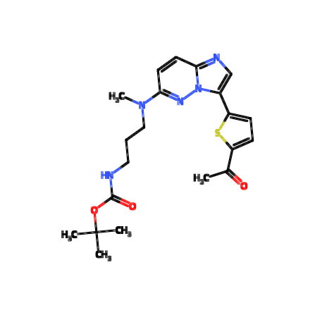 CC(=O)c1ccc(-c2cnc3ccc(N(C)CCCNC(=O)OC(C)(C)C)nn23)s1